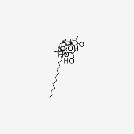 CCCCCCCCCCCCCC(=O)O[C@@]12C[C@@H](C)[C@@]3(O)C(C=C(CO)CC4C(=O)C(C)=C[C@H]43)[C@H]1C2(C)C